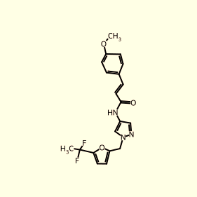 COc1ccc(C=CC(=O)Nc2cnn(Cc3ccc(C(C)(F)F)o3)c2)cc1